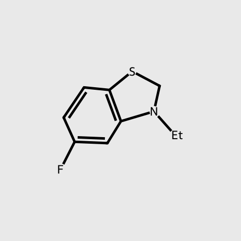 CCN1CSc2ccc(F)cc21